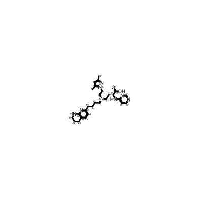 Cc1cc(C)n(CCN(CCCCc2ccc3c(n2)NCCC3)CC[C@H](Nc2ccncn2)C(=O)O)n1